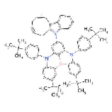 CC(C)(C)c1ccc(N2c3ccc(C(C)(C)C)cc3B3c4cc(C(C)(C)C)ccc4N(c4ccc(C(C)(C)C)cc4)c4cc(-n5c6c(c7ccccc75)/C=C\CC#CC6)cc2c43)cc1